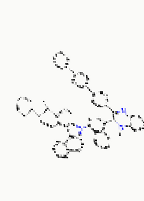 CC1c2ccc3c(c2C=CC1C1C=CC=CC1)c1c2ccccc2ccc1n3-c1ccc(C2C(c3ccc(-c4ccc(-c5ccccc5)cc4)cc3)=Nc3ccccc3N2C)c2ccccc12